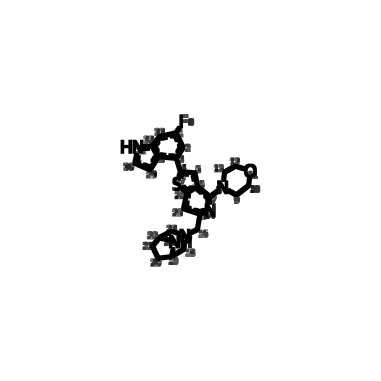 Fc1cc(-c2cc3c(N4CCOCC4)nc(CN4CC5CCC(C4)N5)cc3s2)c2cc[nH]c2c1